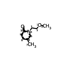 COCCn1cc(C)ccc1=O